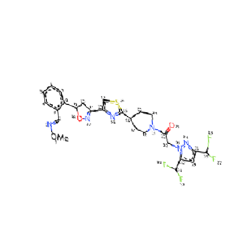 CON=Cc1ccccc1C1CC(c2csc(C3CCN(C(=O)Cn4nc(C(F)F)cc4C(F)F)CC3)n2)=NO1